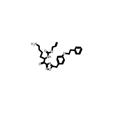 C=CCOC(=O)NC(CCCCN)C(=O)c1noc(Cc2ccc(OCCc3ccccc3)cc2)n1